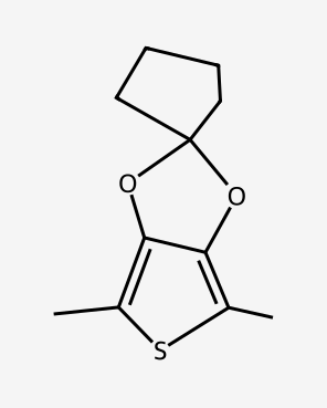 Cc1sc(C)c2c1OC1(CCCC1)O2